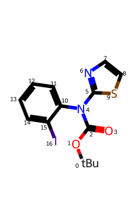 CC(C)(C)OC(=O)N(c1nccs1)c1ccccc1I